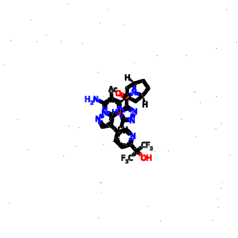 CC(=O)c1c([C@@H]2C[C@H]3CC[C@@H](C2)N3C(=O)c2nnc(C)[nH]2)nc2c(-c3ccc(C(O)(C(F)(F)F)C(F)(F)F)nc3)cnn2c1N